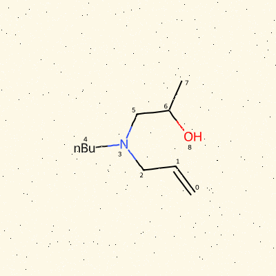 C=CCN(CCCC)CC(C)O